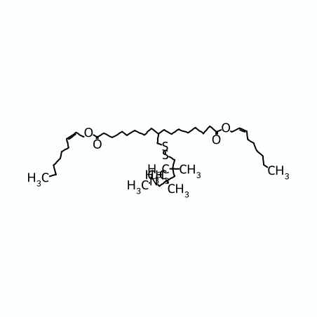 CCCCCC/C=C\COC(=O)CCCCCCCC(CCCCCCCC(=O)OC/C=C\CCCCCC)CSSCC(C)(C)CC(C)(C)CN(C)C